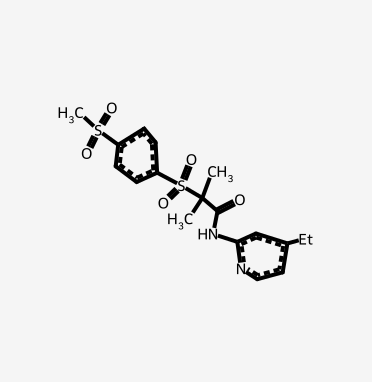 CCc1ccnc(NC(=O)C(C)(C)S(=O)(=O)c2ccc(S(C)(=O)=O)cc2)c1